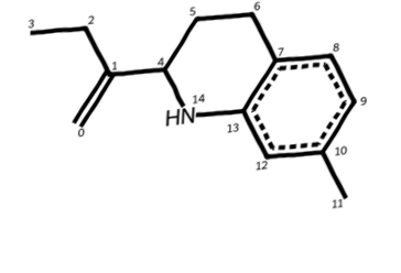 C=C(CC)C1CCc2ccc(C)cc2N1